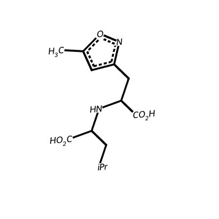 Cc1cc(CC(NC(CC(C)C)C(=O)O)C(=O)O)no1